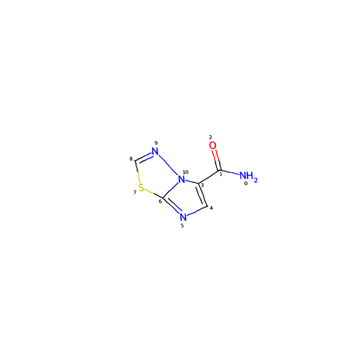 NC(=O)c1cnc2scnn12